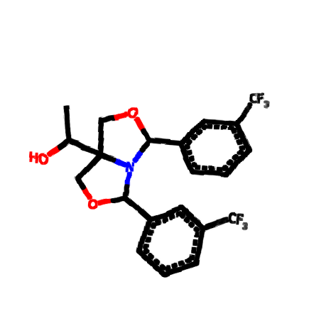 CC(O)C12COC(c3cccc(C(F)(F)F)c3)N1C(c1cccc(C(F)(F)F)c1)OC2